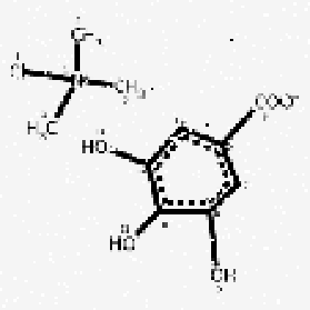 C[N+](C)(C)Cl.O=C([O-])c1cc(O)c(O)c(O)c1